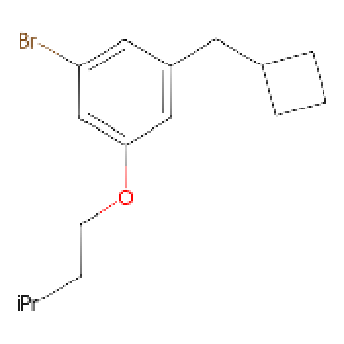 CC(C)CCOc1cc(Br)cc(CC2CCC2)c1